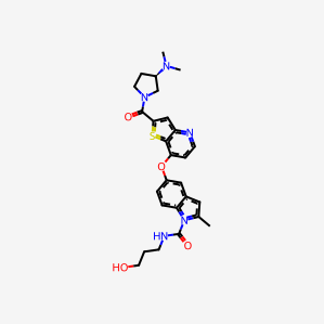 Cc1cc2cc(Oc3ccnc4cc(C(=O)N5CC[C@@H](N(C)C)C5)sc34)ccc2n1C(=O)NCCCO